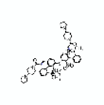 CC(C)c1ccccc1-c1c(/C=C/C(=O)N2CCC(N3CCCC3)CC2)ccc(Sc2ccc(/C=C/C(=O)N3CCC(N4CCCC4)CC3)c(-c3ccccc3C(C)C)c2[N+](=O)[O-])c1[N+](=O)[O-]